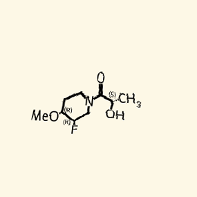 CO[C@@H]1CCN(C(=O)[C@H](C)O)C[C@H]1F